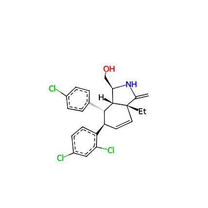 C=C1N[C@H](CO)[C@H]2[C@@H](c3ccc(Cl)cc3)[C@H](c3ccc(Cl)cc3Cl)C=C[C@@]12CC